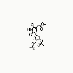 COC(=O)Cc1cn([C@H]2C[C@H](OC(C)=O)[C@@H](COC(C)=O)O2)c(=O)[nH]c1=O